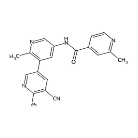 Cc1cc(C(=O)Nc2cnc(C)c(-c3cnc(C(C)C)c(C#N)c3)c2)ccn1